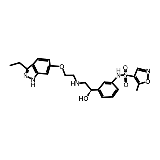 CCc1n[nH]c2cc(OCCNC[C@H](O)c3cccc(NS(=O)(=O)c4cnoc4C)c3)ccc12